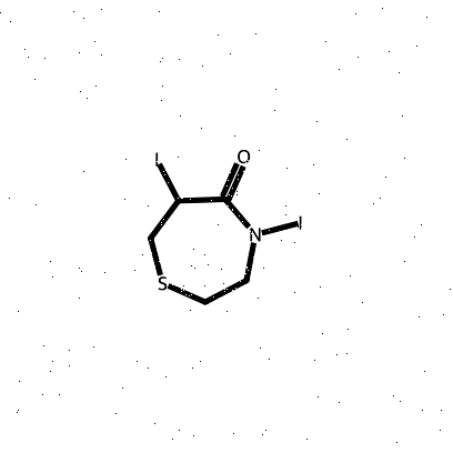 O=C1C(I)CSCCN1I